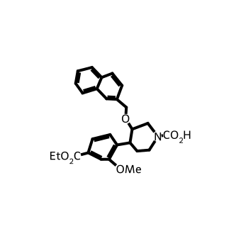 CCOC(=O)c1ccc(C2CCN(C(=O)O)CC2OCc2ccc3ccccc3c2)c(OC)c1